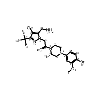 COc1cc(N2CCN(C(=O)Cn3nc(C(F)(F)F)c(Cl)c3CN)[C@@H](C)C2)ccc1Br